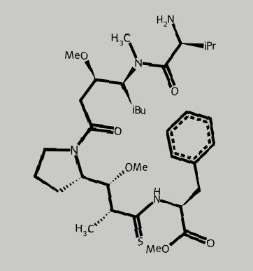 CC[C@H](C)[C@@H]([C@@H](CC(=O)N1CCC[C@H]1[C@H](OC)[C@@H](C)C(=S)N[C@@H](Cc1ccccc1)C(=O)OC)OC)N(C)C(=O)[C@@H](N)C(C)C